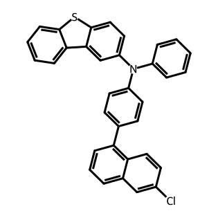 Clc1ccc2c(-c3ccc(N(c4ccccc4)c4ccc5sc6ccccc6c5c4)cc3)cccc2c1